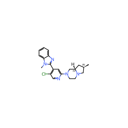 C[C@@H]1C[C@H]2CN(c3cc(-c4nc5ccccc5n4C)c(Cl)cn3)CCN2C1